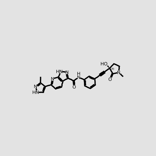 Cc1n[nH]cc1-c1ccc2c(C(=O)Nc3cccc(C#C[C@]4(O)CCN(C)C4=O)c3)n[nH]c2n1